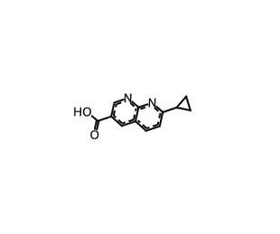 O=C(O)c1cnc2nc(C3CC3)ccc2c1